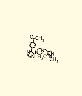 CC(=O)c1ccc(-c2nccnc2N2CCN(Cc3cnn(C)c3C)CC2)cc1